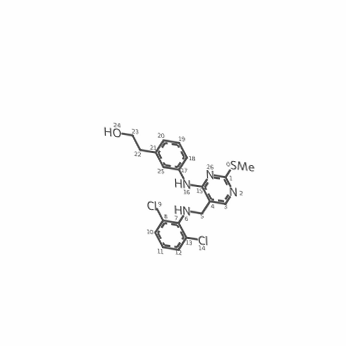 CSc1ncc(CNc2c(Cl)cccc2Cl)c(Nc2cccc(CCO)c2)n1